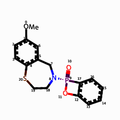 COc1ccc2c(c1)CN([P@@]1(=O)Oc3ccccc31)CCS2